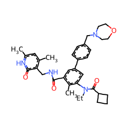 CCN(C(=O)C1CCC1)c1cc(-c2ccc(CN3CCOCC3)cc2)cc(C(=O)NCc2c(C)cc(C)[nH]c2=O)c1C